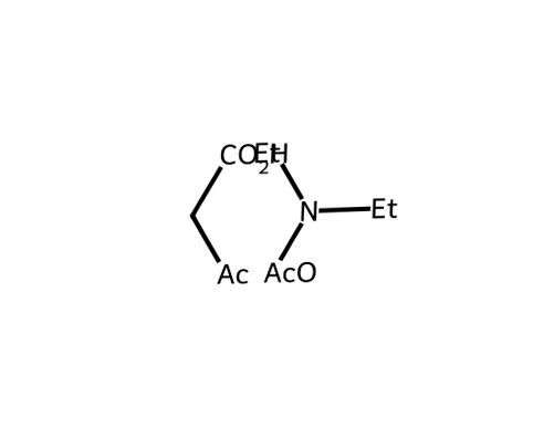 CC(=O)CC(=O)O.CCN(CC)OC(C)=O